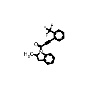 CC1Cc2ccccc2N1C(=O)C#Cc1ccccc1C(F)(F)F